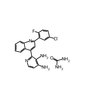 NC(N)=O.Nc1ccnc(-c2cc(-c3cc(Cl)ccc3F)nc3ccccc23)c1N